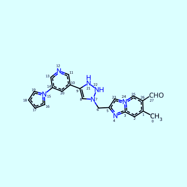 Cc1cc2nc(CN3C=C(c4cncc(-n5cccc5)c4)NN3)cn2cc1C=O